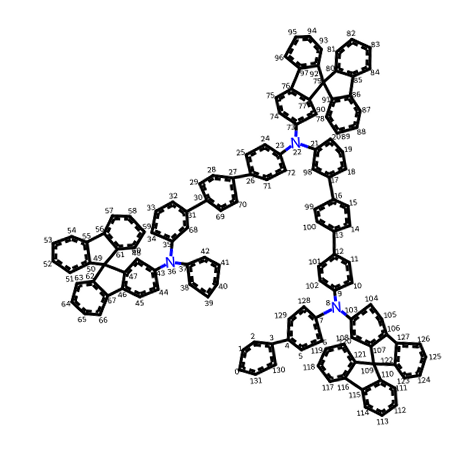 c1ccc(-c2ccc(N(c3ccc(-c4ccc(-c5cccc(N(c6ccc(-c7ccc(-c8cccc(N(c9ccccc9)c9ccc%10c(c9)C9(c%11ccccc%11-c%11ccccc%119)c9ccccc9-%10)c8)cc7)cc6)c6ccc7c(c6)C6(c8ccccc8-c8ccccc86)c6ccccc6-7)c5)cc4)cc3)c3ccc4c(c3)C3(c5ccccc5-c5ccccc53)c3ccccc3-4)cc2)cc1